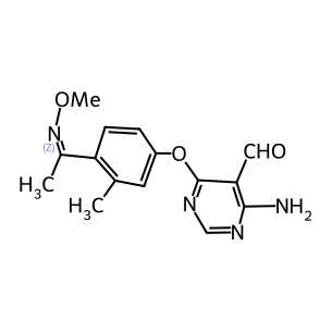 CO/N=C(/C)c1ccc(Oc2ncnc(N)c2C=O)cc1C